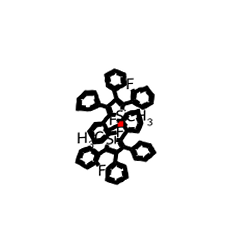 C[Si]1(CC[Si]2(C)C(c3ccccc3F)=C(c3ccccc3)C(c3ccccc3)=C2c2ccccc2F)C(c2ccccc2F)=C(c2ccccc2)C(c2ccccc2)=C1c1ccccc1F